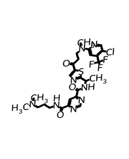 CC(NC(=O)c1cc(C(=O)NCCCN(C)C)ncn1)c1ncc(C(=O)CCN(C)c2cc(C(F)(F)F)c(Cl)cn2)s1